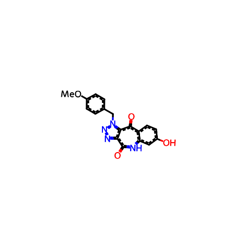 COc1ccc(Cn2nnc3c(=O)[nH]c4cc(O)ccc4c(=O)c32)cc1